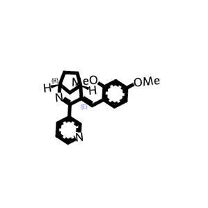 COc1ccc(/C=C2/C(c3cccnc3)=N[C@@H]3CC[C@H]2C3)c(OC)c1